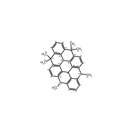 CN1c2cccc3c2C2c4c1ccc1c4B4c5c(cccc5C(C)(C)c5ccc(c2c54)N3C)C1(C)C